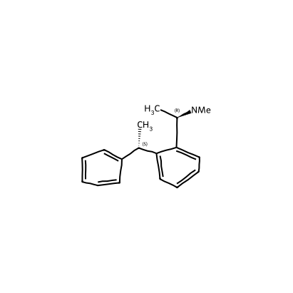 CN[C@H](C)c1ccccc1[C@@H](C)c1ccccc1